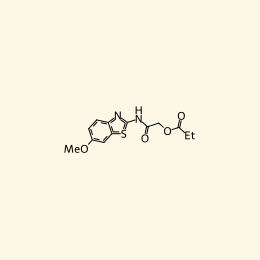 CCC(=O)OCC(=O)Nc1nc2ccc(OC)cc2s1